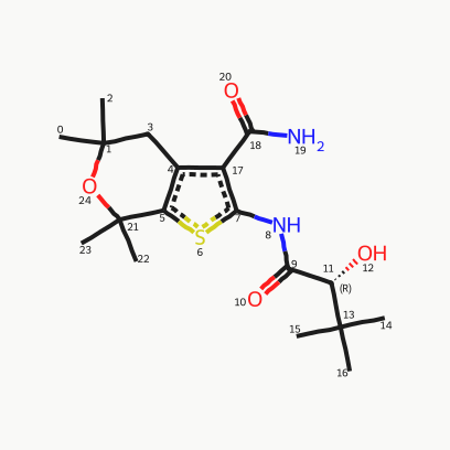 CC1(C)Cc2c(sc(NC(=O)[C@H](O)C(C)(C)C)c2C(N)=O)C(C)(C)O1